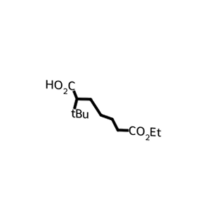 CCOC(=O)CCCCC(C(=O)O)C(C)(C)C